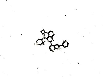 CC1(C)CNCCC1Nc1nc(-c2ccnc3[nH]c(-c4cccnc4)cc23)nc2cncc(C3CCC3)c12